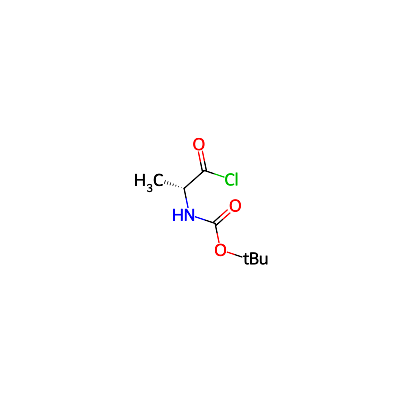 C[C@@H](NC(=O)OC(C)(C)C)C(=O)Cl